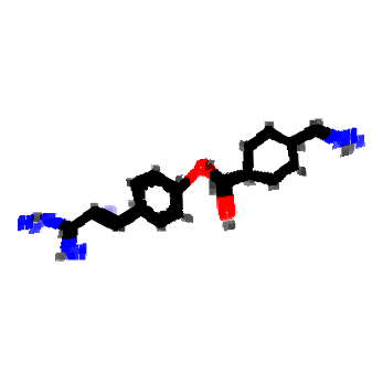 N=C(N)/C=C/c1ccc(OC(=O)C2CCC(CN)CC2)cc1